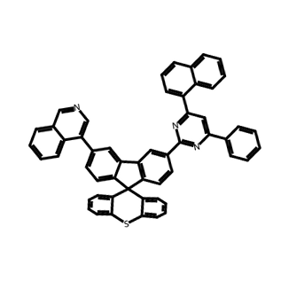 c1ccc(-c2cc(-c3cccc4ccccc34)nc(-c3ccc4c(c3)-c3cc(-c5cncc6ccccc56)ccc3C43c4ccccc4Sc4ccccc43)n2)cc1